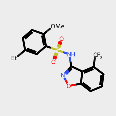 CCc1ccc(OC)c(S(=O)(=O)Nc2noc3cccc(C(F)(F)F)c23)c1